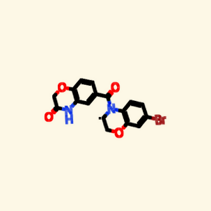 O=C1COc2ccc(C(=O)N3[CH]COc4cc(Br)ccc43)cc2N1